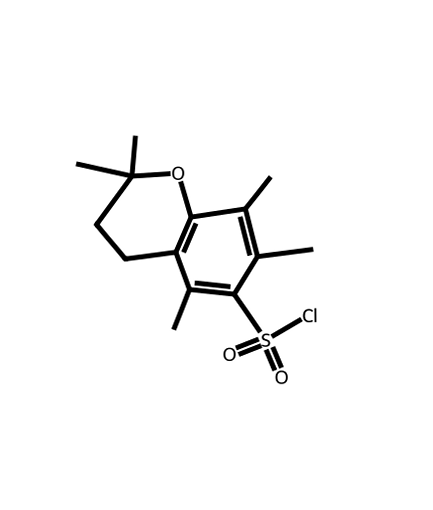 Cc1c(C)c(S(=O)(=O)Cl)c(C)c2c1OC(C)(C)CC2